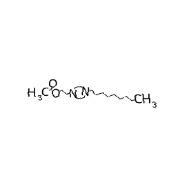 CCCCCCCCCN1CCN(CCOC(C)=O)CC1